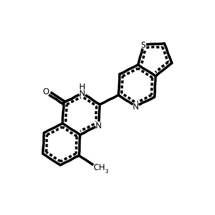 Cc1cccc2c(=O)[nH]c(-c3cc4sccc4cn3)nc12